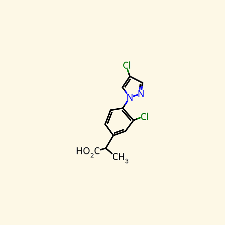 CC(C(=O)O)c1ccc(-n2cc(Cl)cn2)c(Cl)c1